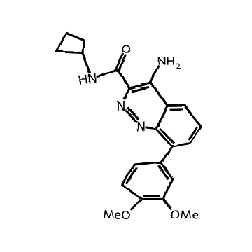 COc1ccc(-c2cccc3c(N)c(C(=O)NC4CCC4)nnc23)cc1OC